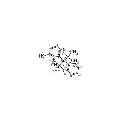 Cc1c(S)cccc1[Si](c1ccccc1)(C(C)(C)C)C(C)(C)C